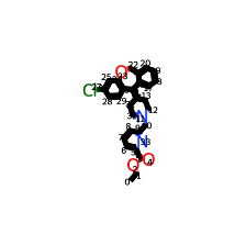 CCOC(=O)c1cccc(CN2CCC(=C3c4ccccc4COc4cc(Cl)ccc43)CC2)n1